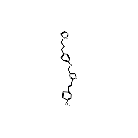 FC(F)(F)c1ccc(/C=C/c2nc(COc3ccc(CCCn4ccnn4)cc3)co2)cc1